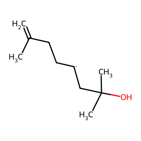 C=C(C)CC[CH]CC(C)(C)O